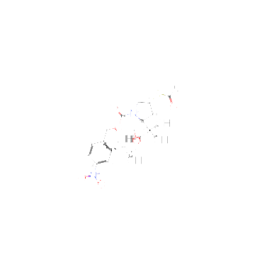 CC(=O)S[C@@H]1CN(C(=O)OCc2ccc([N+](=O)[O-])cc2)[C@](CO[SiH](C)C)(C(C)(C)C)C1